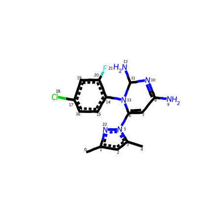 Cc1cc(C)n(C2=CC(N)=NC(N)N2c2ccc(Cl)cc2F)n1